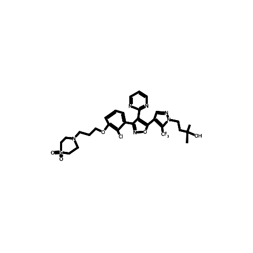 CC(C)(O)CCn1ncc(-c2onc(-c3cccc(OCCCN4CCS(=O)(=O)CC4)c3Cl)c2-c2ncccn2)c1C(F)(F)F